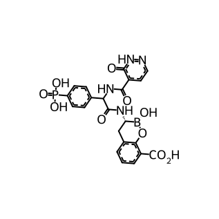 O=C(O)c1cccc2c1OB(O)[C@@H](NC(=O)C(NC(=O)c1ccn[nH]c1=O)c1ccc(P(=O)(O)O)cc1)C2